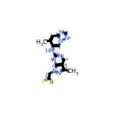 Cc1cc2ncnn2cc1Nc1ncc2c(C)nn(CC(F)F)c2n1